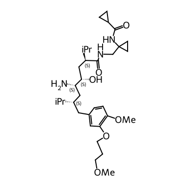 COCCCOc1cc(C[C@@H](C[C@H](N)[C@@H](O)C[C@H](C(=O)NCC2(NC(=O)C3CC3)CC2)C(C)C)C(C)C)ccc1OC